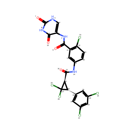 O=C(Nc1c[nH]c(=O)[nH]c1=O)c1cc(NC(=O)[C@H]2[C@H](c3cc(Cl)cc(Cl)c3)C2(Cl)Cl)ccc1Cl